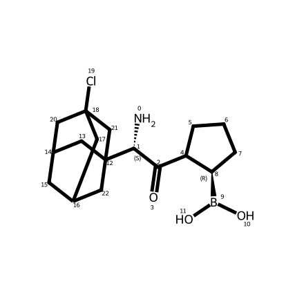 N[C@H](C(=O)C1CCC[C@H]1B(O)O)C12CC3CC(CC(Cl)(C3)C1)C2